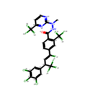 CN(NC(=O)c1ccc(C(F)=CC(c2cc(Cl)c(Cl)c(Cl)c2)C(F)(F)F)cc1C(F)(F)F)c1nccc(C(F)(F)F)n1